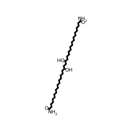 NC(=O)CCCCCCCCCCCCCCCCC(O)CCC(O)CCCCCCCCCCCCCCCCC(N)=O